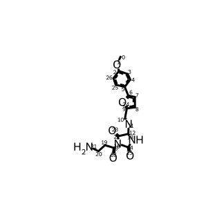 COc1ccc(-c2ccc(/C=N/C3NC(=O)N(C(=O)CCN)C3=O)o2)cc1